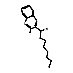 CCCCCCCC(O)c1nc2ccccc2nc1Br